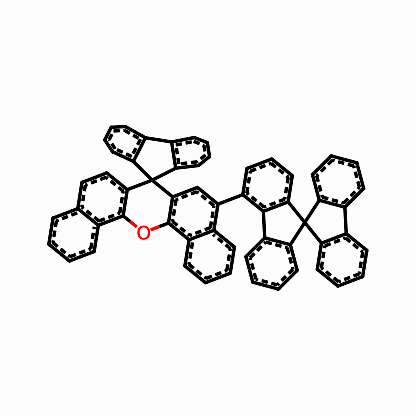 c1ccc2c(c1)-c1ccccc1C21c2ccccc2-c2c(-c3cc4c(c5ccccc35)Oc3c(ccc5ccccc35)C43c4ccccc4-c4ccccc43)cccc21